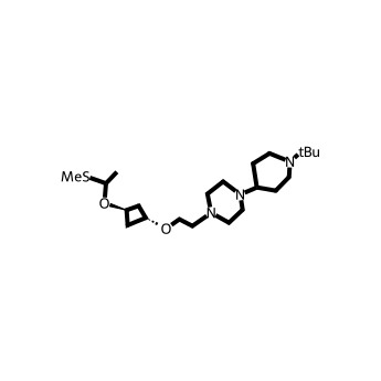 CSC(C)O[C@H]1C[C@H](OCCN2CCN(C3CCN(C(C)(C)C)CC3)CC2)C1